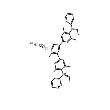 CC=[N+](c1ccccn1)c1c(C)cc(-c2ccc(C)c(-c3cc(C)c([N+](=CC)c4ccccn4)c(C)c3)c2)cc1C.[Cl-].[Cl-].[Cl-].[Cl-].[Ni].[Ni]